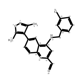 Cc1noc(C)c1-c1ccc2nc(C=O)cc(NCc3cccc(Cl)c3)c2c1